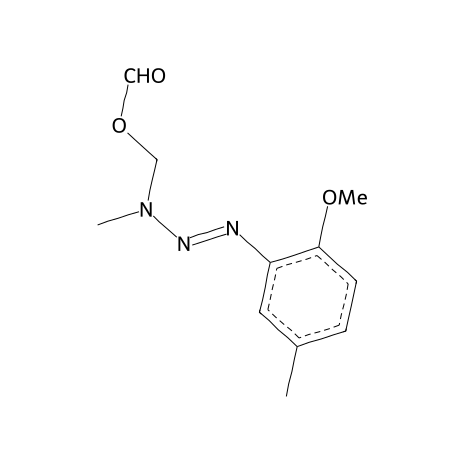 COc1ccc(C)cc1/N=N/N(C)COC=O